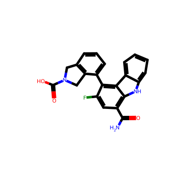 NC(=O)c1cc(F)c(-c2cccc3c2CN(C(=O)O)C3)c2c1[nH]c1ccccc12